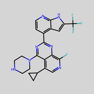 Fc1ncc(C2CC2)c2c(N3CCNCC3)nc(-c3ccnc4[nH]c(C(F)(F)F)cc34)nc12